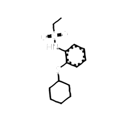 CCS(=O)(=O)Nc1ccccc1SC1CCCCC1